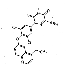 CCc1ccnc2ccc(Oc3c(Cl)cc(-n4nc(C#N)c(=O)[nH]c4=O)cc3Cl)cc12